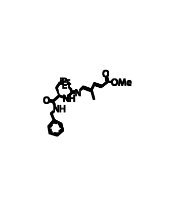 CC\C(=N/C=C(C)/C=C/C(=O)OC)N[C@H](CC(C)C)C(=O)NCc1ccccc1